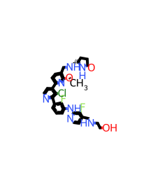 COc1nc(-c2ccnc(-c3cccc(Nc4nccc(CNCCO)c4F)c3F)c2Cl)ccc1CNC[C@@H]1CCC(=O)N1